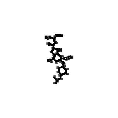 CNC(N)=NC(=O)c1cc2c(Cl)cc(Oc3ccc(CN(C)C)cc3)cc2[nH]1.Cl.Cl